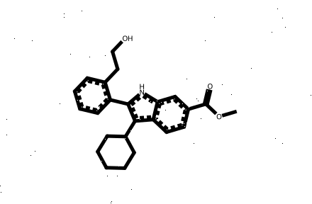 COC(=O)c1ccc2c(C3CCCCC3)c(-c3ccccc3CCO)[nH]c2c1